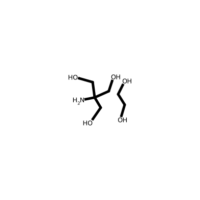 NC(CO)(CO)CO.OCCO